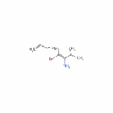 C=CC/C=C\C(Br)=C(\N)C(C)C